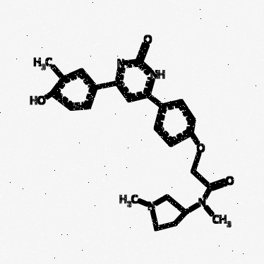 Cc1cc(-c2cc(-c3ccc(OCC(=O)N(C)C4CCN(C)C4)cc3)[nH]c(=O)n2)ccc1O